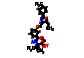 CCc1oc(-c2ccc(C)cc2)nc1CO[C@@H]1CCC[C@H](C(=O)NC(C(=O)O)C(C)C)C1